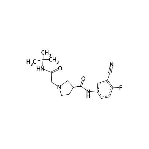 CC(C)(C)NC(=O)CN1CC[C@H](C(=O)Nc2ccc(F)c(C#N)c2)C1